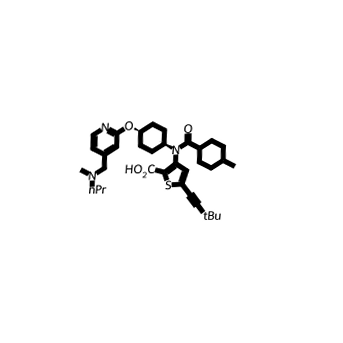 CCCN(C)Cc1ccnc(O[C@H]2CC[C@H](N(C(=O)C3CCC(C)CC3)c3cc(C#CC(C)(C)C)sc3C(=O)O)CC2)c1